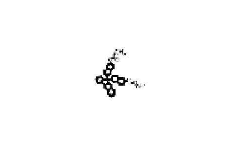 C=CC(=O)Oc1ccc2cc(C3(c4ccc5cc(OCOCCC)ccc5c4)c4ccccc4-c4cc5ccccc5cc43)ccc2c1